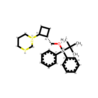 CC(C)(C)[Si](OC[C@H]1CCC1[SH]1CCCSC1)(c1ccccc1)c1ccccc1